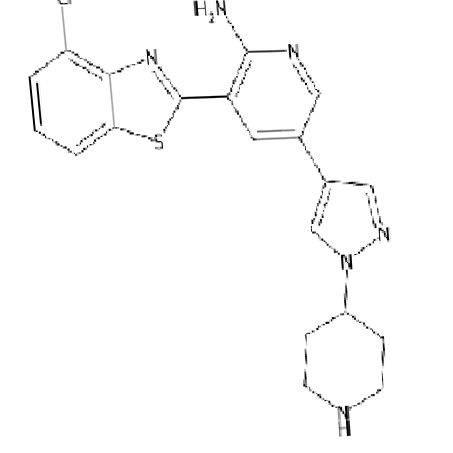 Nc1ncc(-c2cnn(C3CCNCC3)c2)cc1-c1nc2c(Cl)cccc2s1